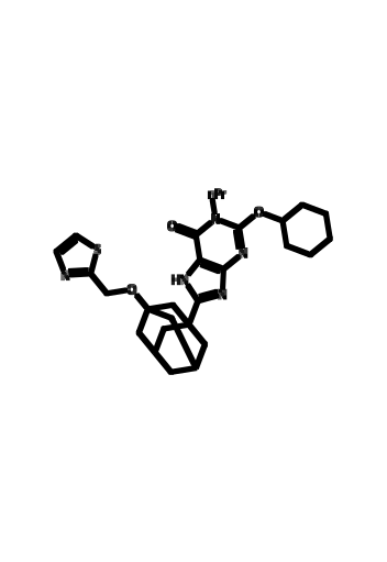 CCCn1c(OC2CCCCC2)nc2nc(C34CC5CC(CC(OCc6nccs6)(C5)C3)C4)[nH]c2c1=O